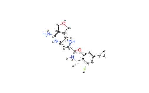 C[C@@H](c1ccc(C2CC2)cc1F)N(C)C(=O)c1cc2nc(N)c3c(c2[nH]1)COC3